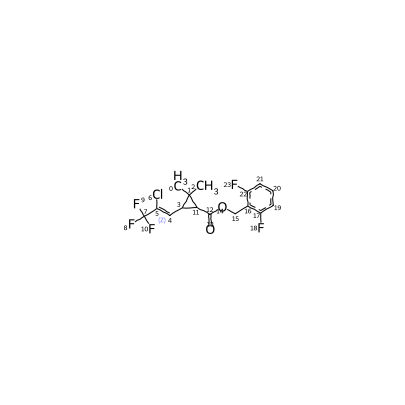 CC1(C)C(/C=C(\Cl)C(F)(F)F)C1C(=O)OCc1c(F)cccc1F